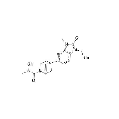 CC(O)C(=O)N1CC2CCC1C=C2c1ccc2c(n1)n(C)c(=O)n2CC(C)(C)C